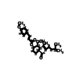 COc1ccc(/C=C/C(=O)O[C@@H]2CC[C@H](C=O)[C@@H](/C(C)=C/CCC(C)C)[C@@H]2OC)cc1